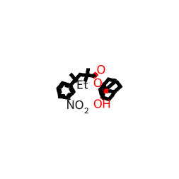 CCC(C)(CC(C)(C)C(=O)OC12CC3CC(CC(O)(C3)C1)C2)c1cccc([N+](=O)[O-])c1